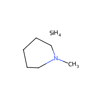 CN1CCCCC1.[SiH4]